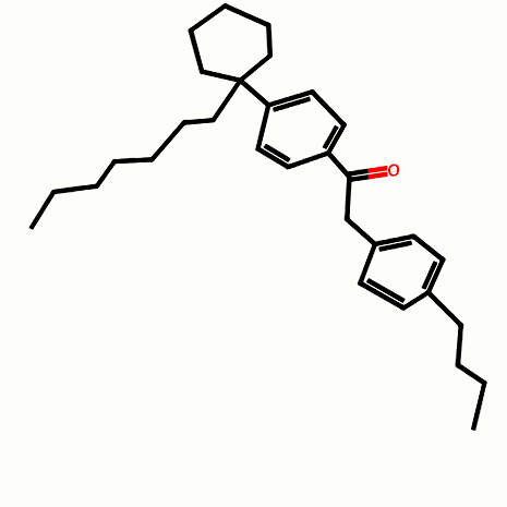 CCCCCCCC1(c2ccc(C(=O)Cc3ccc(CCCC)cc3)cc2)CCCCC1